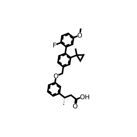 COc1ccc(F)c(-c2ccc(COc3cccc([C@@H](C)CC(=O)O)c3)cc2C2(C)CC2)c1